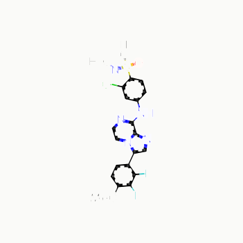 CN=S(C)(=O)c1ccc(Nc2nccn3c(-c4ccc(OC)c(F)c4F)cnc23)cc1Cl